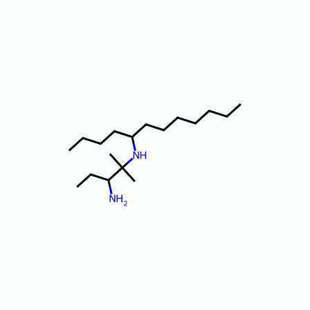 CCCCCCCC(CCCC)NC(C)(C)C(N)CC